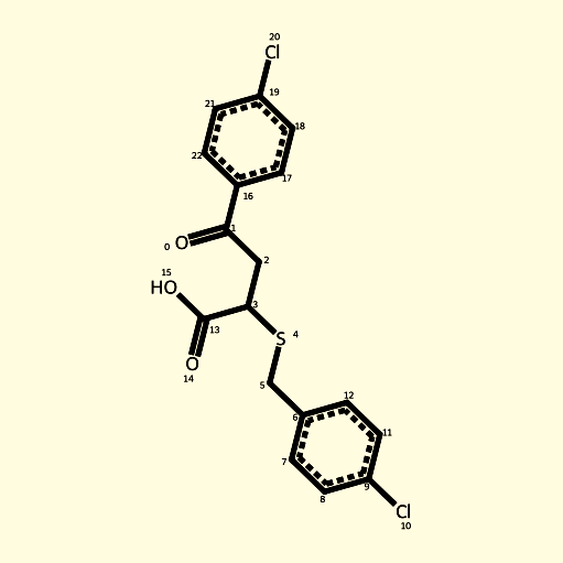 O=C(CC(SCc1ccc(Cl)cc1)C(=O)O)c1ccc(Cl)cc1